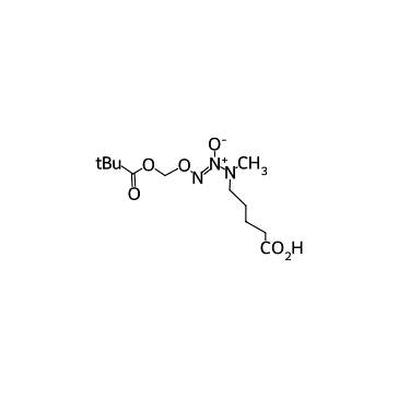 CN(CCCCC(=O)O)/[N+]([O-])=N/OCOC(=O)C(C)(C)C